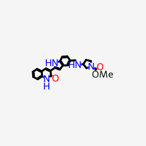 COC(=O)N1CCC(NCc2ccc3[nH]c(-c4cc5ccccc5[nH]c4=O)cc3c2)C1